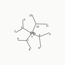 C[CH](C)[Pb]([CH](C)C)([CH](C)C)[CH](C)C